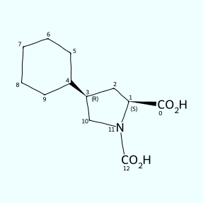 O=C(O)[C@@H]1C[C@H](C2CCCCC2)CN1C(=O)O